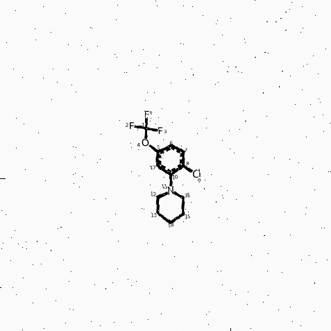 FC(F)(F)Oc1ccc(Cl)c(N2CCCCC2)c1